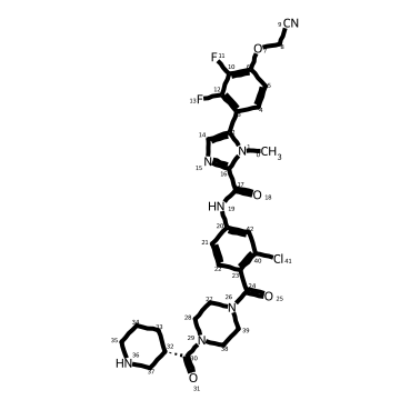 Cn1c(-c2ccc(OCC#N)c(F)c2F)cnc1C(=O)Nc1ccc(C(=O)N2CCN(C(=O)[C@H]3CCCNC3)CC2)c(Cl)c1